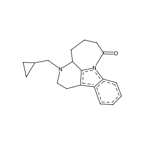 O=C1CCCC2c3c(c4ccccc4n31)CCN2CC1CC1